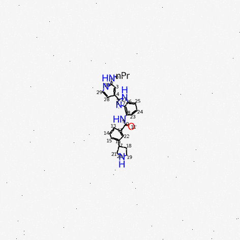 CCCNc1cc(-c2nc3c(NC(=O)c4cccc(C5CCNC5)c4)cccc3[nH]2)ccn1